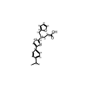 CC(C)c1ccc(-c2csc(N(CCC(=O)O)Cc3ccco3)n2)cc1